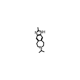 Cc1nc2cc3c(cc2[nH]1)CCN(C(C)C)CC3